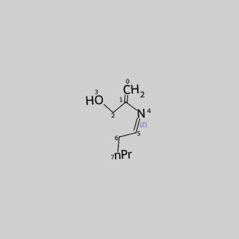 C=C(CO)/N=C\CCCC